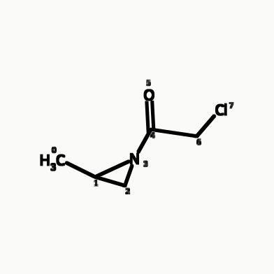 CC1CN1C(=O)CCl